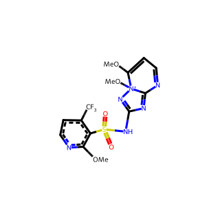 COC1=CC=NC2=NC(NS(=O)(=O)c3c(C(F)(F)F)ccnc3OC)=N[N+]12OC